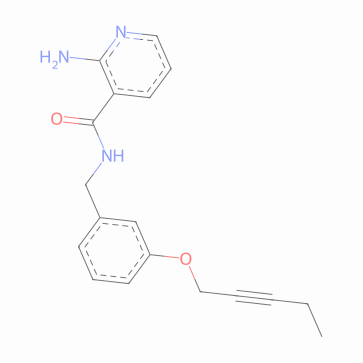 CCC#CCOc1cccc(CNC(=O)c2cccnc2N)c1